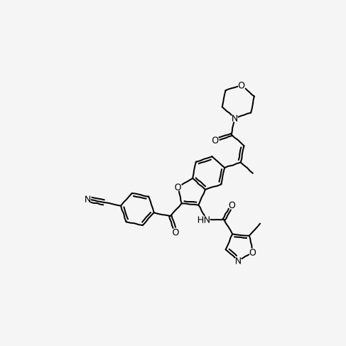 C/C(=C/C(=O)N1CCOCC1)c1ccc2oc(C(=O)c3ccc(C#N)cc3)c(NC(=O)c3cnoc3C)c2c1